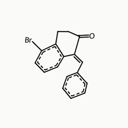 O=C1CCc2c(Br)cccc2/C1=C\c1ccccc1